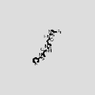 CC(C)c1cnc(NC(=O)Cc2csc(NC(=O)c3csc(-c4cccnc4)n3)n2)s1